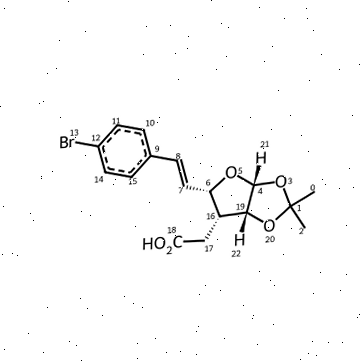 CC1(C)O[C@H]2O[C@@H](C=Cc3ccc(Br)cc3)[C@@H](CC(=O)O)[C@H]2O1